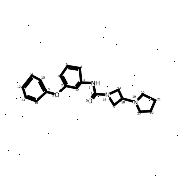 O=C(Nc1cccc(Oc2ccccc2)c1)N1CC(N2CCCC2)C1